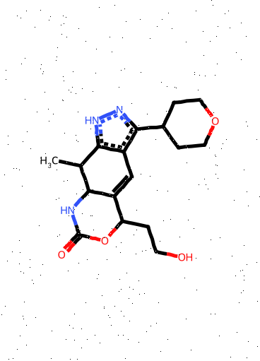 CC1c2[nH]nc(C3CCOCC3)c2C=C2C(CCO)OC(=O)NC21